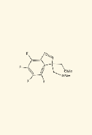 COCC1(COC)C=Cc2c(F)c(F)c(F)c(F)c21